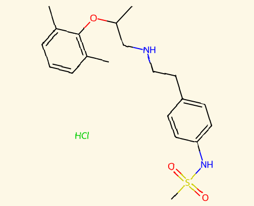 Cc1cccc(C)c1OC(C)CNCCc1ccc(NS(C)(=O)=O)cc1.Cl